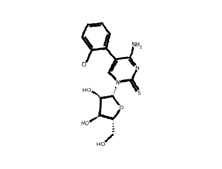 Nc1nc(=S)n([C@@H]2O[C@H](CO)[C@@H](O)[C@H]2O)cc1-c1ccccc1Cl